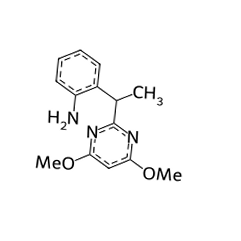 COc1cc(OC)nc(C(C)c2ccccc2N)n1